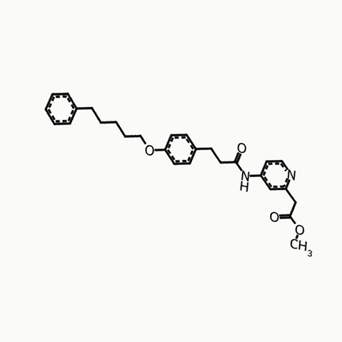 COC(=O)Cc1cc(NC(=O)CCc2ccc(OCCCCCc3ccccc3)cc2)ccn1